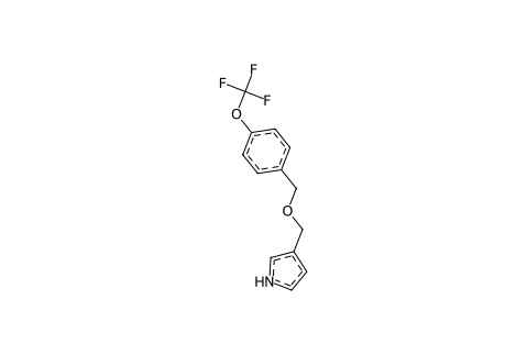 FC(F)(F)Oc1ccc(COCc2cc[nH]c2)cc1